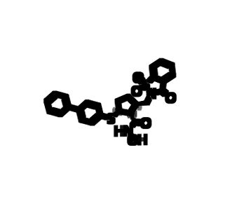 O=C(NO)[C@H]1[C@H](CN2C(=O)c3ccccc3S2(=O)=O)CC[C@@H]1Sc1ccc(-c2ccccc2)cc1